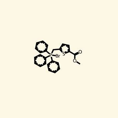 COC(=O)c1ccc(CP(Br)(c2ccccc2)(c2ccccc2)c2ccccc2)s1